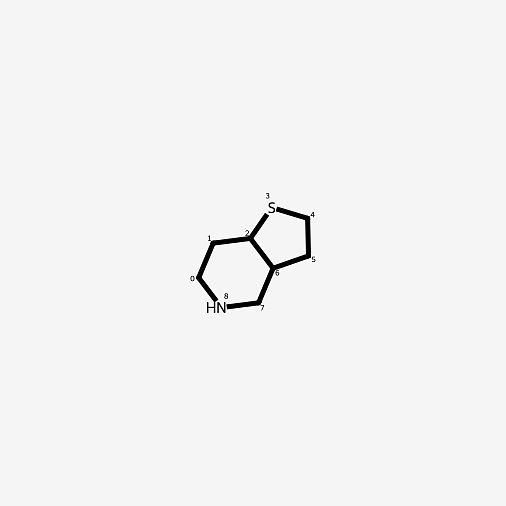 C1CC2SCCC2CN1